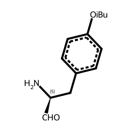 C[C](C)COc1ccc(C[C@H](N)C=O)cc1